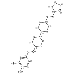 Fc1cc(COC2CCC(C3CCC(CCC4OCCO4)CC3)CC2)ccc1Cl